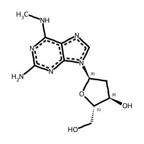 CNc1nc(N)nc2c1ncn2[C@H]1C[C@@H](O)[C@H](CO)O1